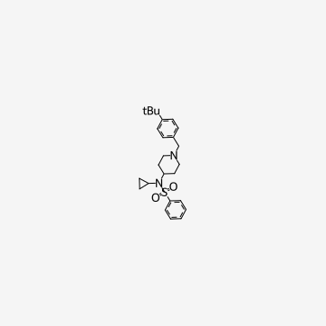 CC(C)(C)c1ccc(CN2CCC(N(C3CC3)S(=O)(=O)c3ccccc3)CC2)cc1